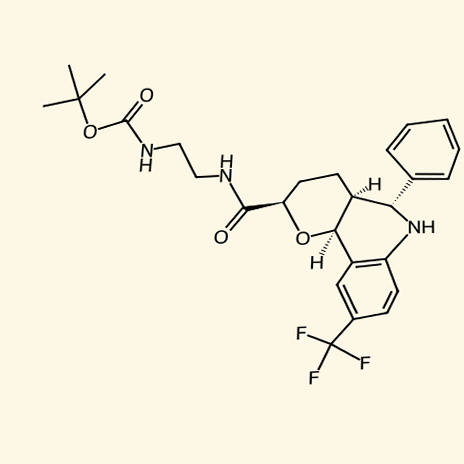 CC(C)(C)OC(=O)NCCNC(=O)[C@H]1CC[C@@H]2[C@H](O1)c1cc(C(F)(F)F)ccc1N[C@H]2c1ccccc1